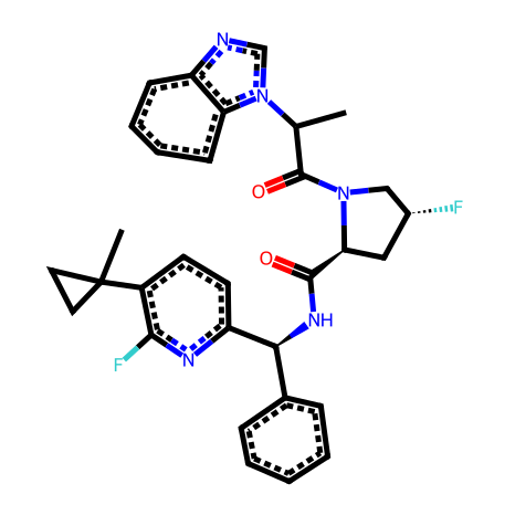 CC(C(=O)N1C[C@H](F)C[C@H]1C(=O)N[C@@H](c1ccccc1)c1ccc(C2(C)CC2)c(F)n1)n1cnc2ccccc21